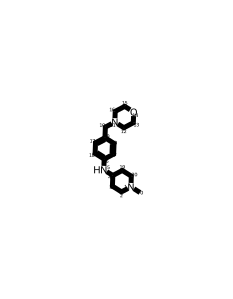 CN1CCC(Nc2ccc(CN3CCOCC3)cc2)CC1